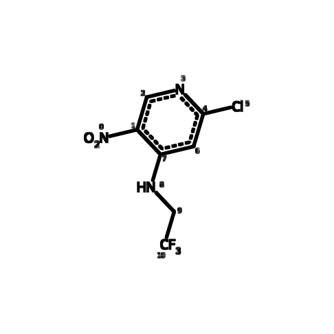 O=[N+]([O-])c1cnc(Cl)cc1NCC(F)(F)F